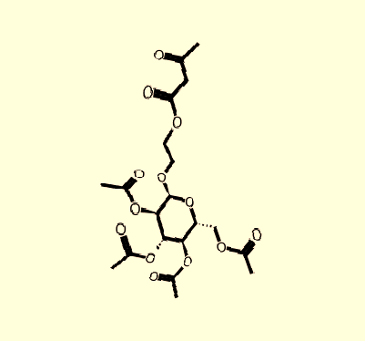 CC(=O)CC(=O)OCCO[C@H]1O[C@H](COC(C)=O)[C@@H](OC(C)=O)[C@H](OC(C)=O)[C@H]1OC(C)=O